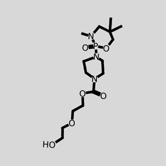 CN1CC(C)(C)COP1(=O)N1CCN(C(=O)OCCOCCO)CC1